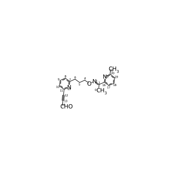 C/C(=N\OCCCc1cccc(C#CC=O)n1)c1cccc(C)n1